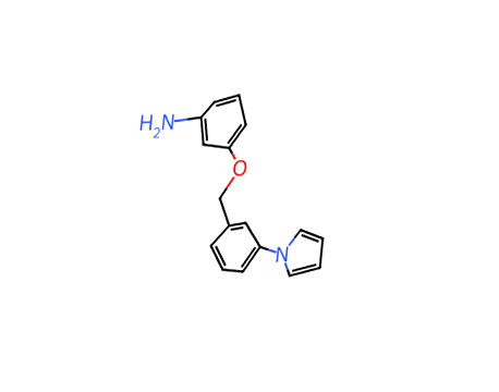 Nc1cccc(OCc2cccc(-n3cccc3)c2)c1